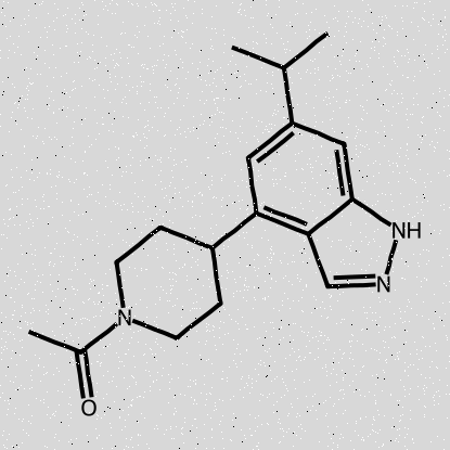 CC(=O)N1CCC(c2cc(C(C)C)cc3[nH]ncc23)CC1